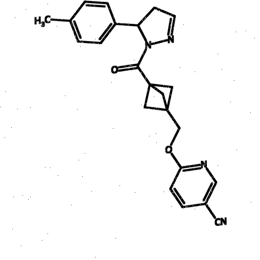 Cc1ccc(C2CC=NN2C(=O)C23CC(COc4ccc(C#N)cn4)(C2)C3)cc1